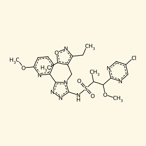 CCc1noc(C)c1Cn1c(NS(=O)(=O)C(C)C(OC)c2ncc(Cl)cn2)nnc1-c1cccc(OC)n1